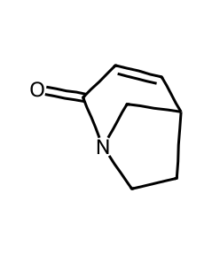 O=C1C=CC2CCN1C2